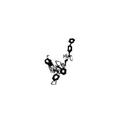 CC(c1ccccc1OCCCNC(=O)c1ccc(-c2ccccc2)cc1)N(c1cc(F)ccc1F)S(=O)(=O)c1ccc(Cl)cc1